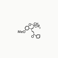 COc1ccc2c(c1)C(/C=C/C(=O)c1ccccc1)=CC(C)(C)CO2